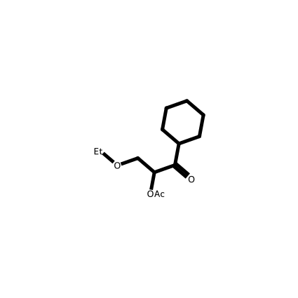 CCOCC(OC(C)=O)C(=O)C1CCCCC1